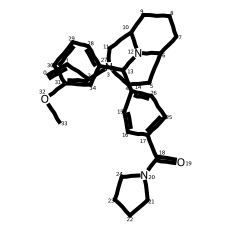 C=CCN1CCC2CCCC(C1)N2C(c1ccc(C(=O)N2CCCC2)cc1)c1cccc(OC)c1